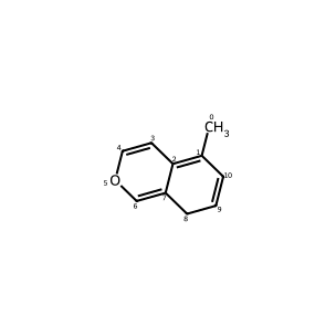 CC1=C2C=COC=C2CC=C1